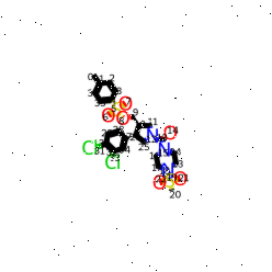 Cc1ccc(S(=O)(=O)OC[C@H]2CN(C(=O)N3CCN(S(C)(=O)=O)CC3)C[C@@H]2c2ccc(Cl)c(Cl)c2)cc1